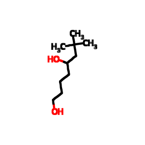 CC(C)(C)CC(O)CCCCO